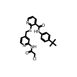 CC(C)(C)c1ccc(NC(=O)c2cccnc2SCc2ccnc(NC(=O)CCl)c2)cc1